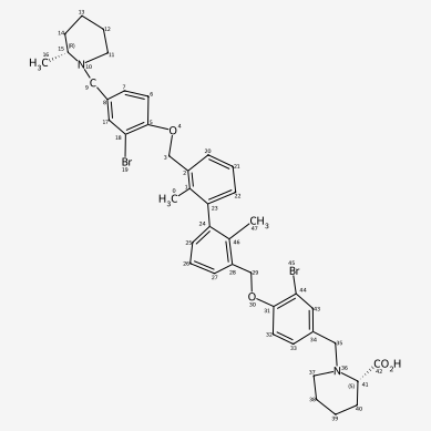 Cc1c(COc2ccc(CN3CCCC[C@H]3C)cc2Br)cccc1-c1cccc(COc2ccc(CN3CCCC[C@H]3C(=O)O)cc2Br)c1C